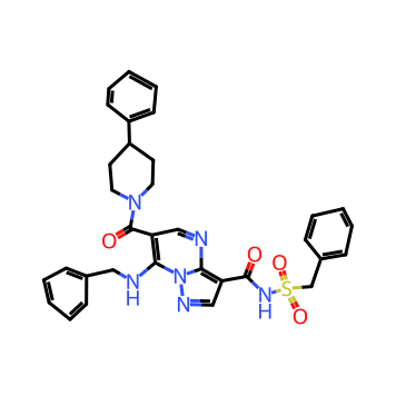 O=C(NS(=O)(=O)Cc1ccccc1)c1cnn2c(NCc3ccccc3)c(C(=O)N3CCC(c4ccccc4)CC3)cnc12